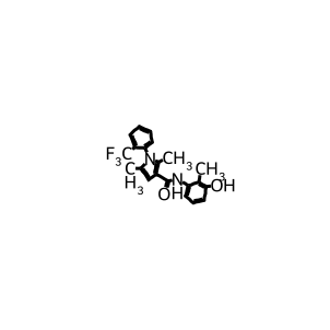 Cc1c(O)cccc1NC(=O)c1cc(C)n(-c2ccccc2C(F)(F)F)c1C